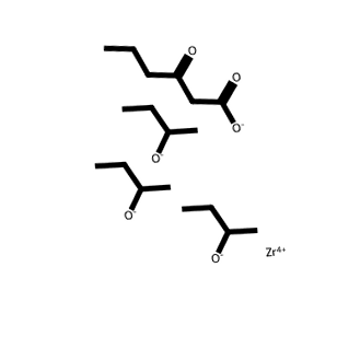 CCC(C)[O-].CCC(C)[O-].CCC(C)[O-].CCCC(=O)CC(=O)[O-].[Zr+4]